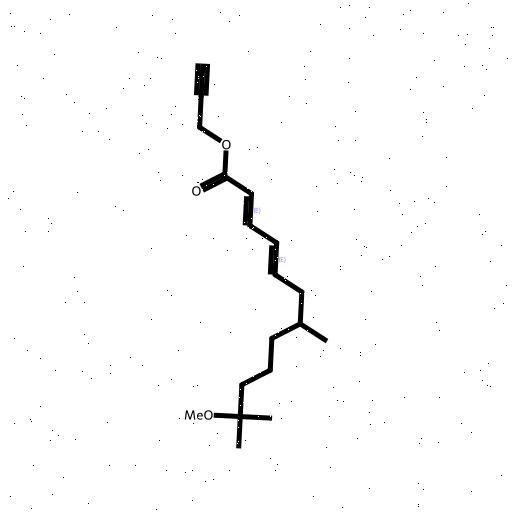 C#CCOC(=O)/C=C/C=C/CC(C)CCCC(C)(C)OC